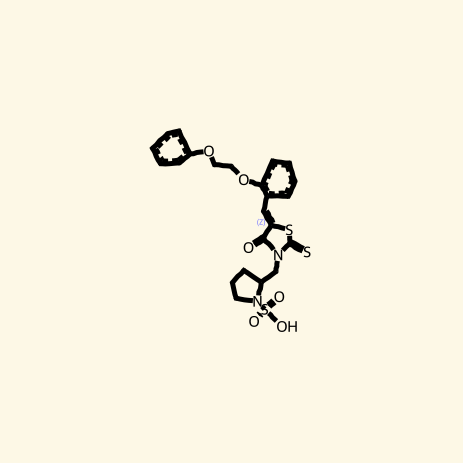 O=C1/C(=C/c2ccccc2OCCOc2ccccc2)SC(=S)N1CC1CCCN1S(=O)(=O)O